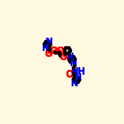 O=C(NCCN1CCN(c2cccc3c2OC=C(COC(=O)c2cnccn2)O3)CC1)c1cnccn1